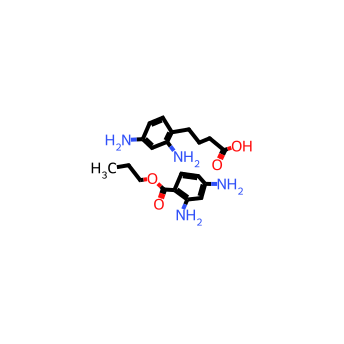 CCCOC(=O)c1ccc(N)cc1N.Nc1ccc(CCCC(=O)O)c(N)c1